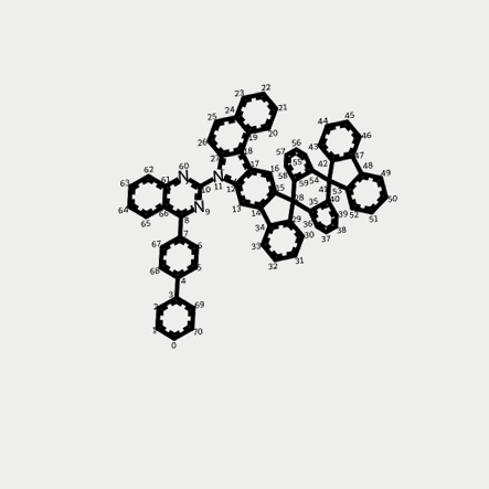 c1ccc(-c2ccc(-c3nc(-n4c5cc6c(cc5c5c7ccccc7ccc54)C4(c5ccccc5-6)c5ccccc5C5(c6ccccc6-c6ccccc65)c5ccccc54)nc4ccccc34)cc2)cc1